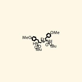 CCN(CC(Cc1ccc(OC)cc1)NC(=O)OC(C)(C)C)C[C@@H](Cc1ccc(OC)cc1)NC(=O)OC(C)(C)C